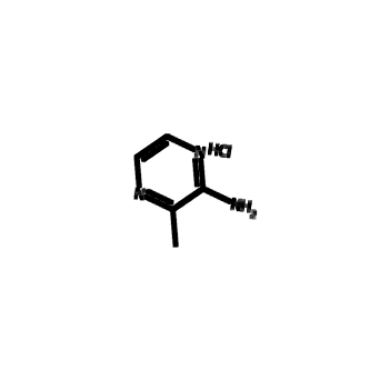 Cc1nccnc1N.Cl